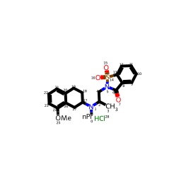 CCCN(C(C)CN1C(=O)c2ccccc2S1(=O)=O)C1CCc2cccc(OC)c2C1.Cl